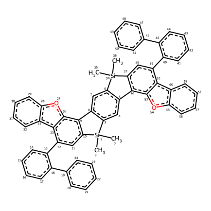 C[Si]1(C)c2cc3c(cc2-c2c1cc(-c1ccccc1-c1ccccc1)c1c2oc2ccccc21)[Si](C)(C)c1cc(-c2ccccc2-c2ccccc2)c2c(oc4ccccc42)c1-3